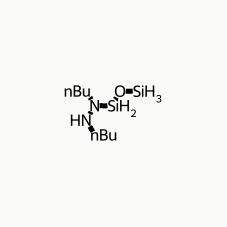 CCCCNN(CCCC)[SiH2]O[SiH3]